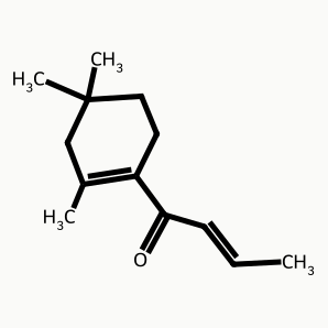 CC=CC(=O)C1=C(C)CC(C)(C)CC1